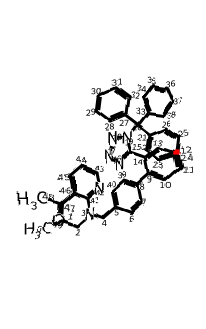 CCCN(Cc1ccc(-c2ccccc2-c2nnnn2C(c2ccccc2)(c2ccccc2)c2ccccc2)cc1)c1ncccc1C(C)=O